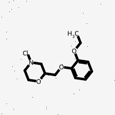 CCOc1ccccc1OCC1CN(Cl)CCO1